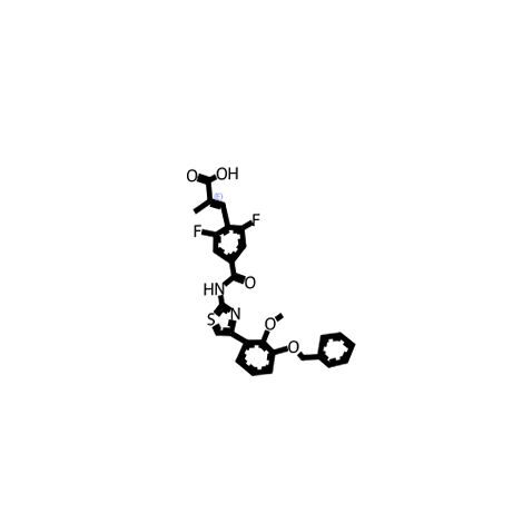 COc1c(OCc2ccccc2)cccc1-c1csc(NC(=O)c2cc(F)c(/C=C(\C)C(=O)O)c(F)c2)n1